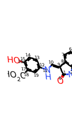 O=C1Nc2ccccc2/C1=C/Nc1ccc(O)c(C(=O)O)c1